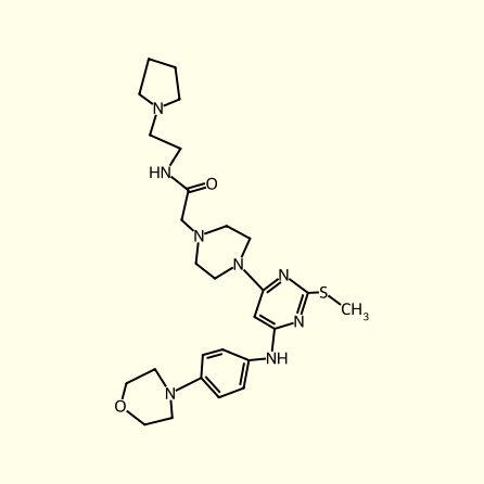 CSc1nc(Nc2ccc(N3CCOCC3)cc2)cc(N2CCN(CC(=O)NCCN3CCCC3)CC2)n1